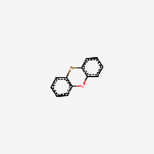 [c]1ccc2c(c1)Sc1ccccc1O2